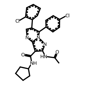 CC(=O)Nc1nn2c(-c3ccc(Cl)cc3)c(-c3ccccc3Cl)cnc2c1C(=O)NC1CCCC1